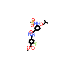 COC(=O)c1ccc(-c2noc(-c3ccc(OCC(C)C)c(NS(C)(=O)=O)c3)n2)cc1F